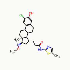 CON=C1C[C@@H](CCC(=O)Nc2ncc(C)s2)C2C3CCc4cc(O)c(Cl)cc4C3CC[C@]12C